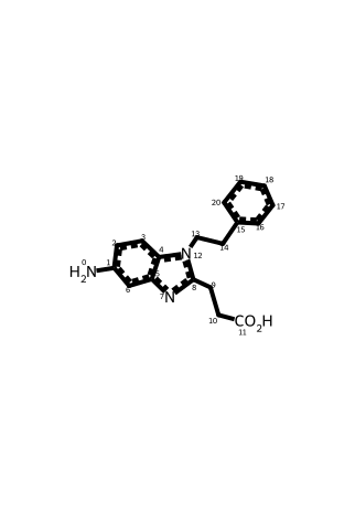 Nc1ccc2c(c1)nc(CCC(=O)O)n2CCc1ccccc1